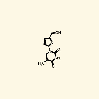 CC1CN([C@H]2C=C[C@@H](CO)O2)C(=O)NC1=O